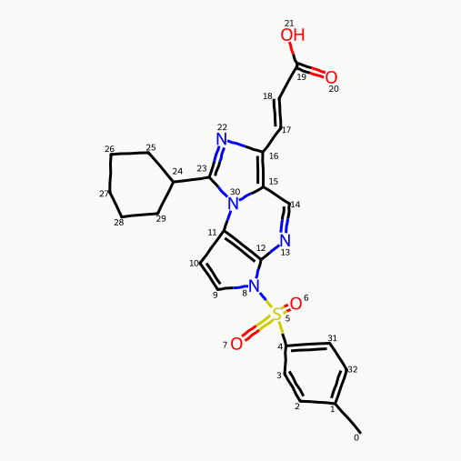 Cc1ccc(S(=O)(=O)n2ccc3c2ncc2c(C=CC(=O)O)nc(C4CCCCC4)n23)cc1